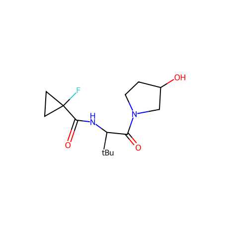 CC(C)(C)C(NC(=O)C1(F)CC1)C(=O)N1CCC(O)C1